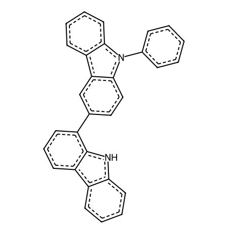 c1ccc(-n2c3ccccc3c3cc(-c4cccc5c4[nH]c4ccccc45)ccc32)cc1